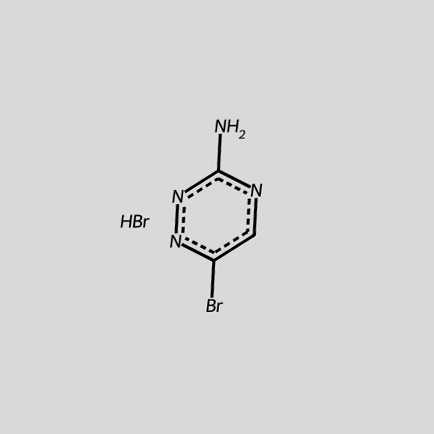 Br.Nc1ncc(Br)nn1